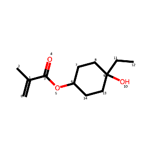 C=C(C)C(=O)OC1CCC(O)(CC)CC1